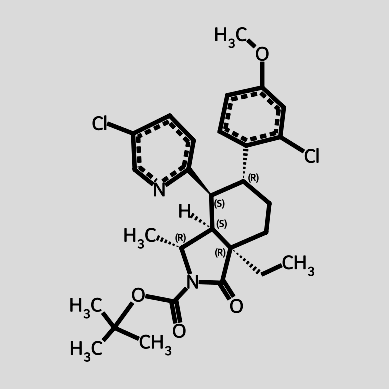 CC[C@@]12CC[C@@H](c3ccc(OC)cc3Cl)[C@H](c3ccc(Cl)cn3)[C@@H]1[C@@H](C)N(C(=O)OC(C)(C)C)C2=O